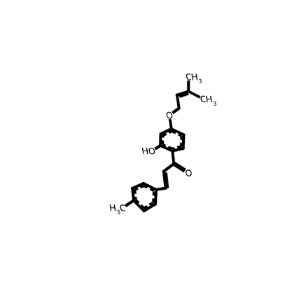 CC(C)=CCOc1ccc(C(=O)C=Cc2ccc(C)cc2)c(O)c1